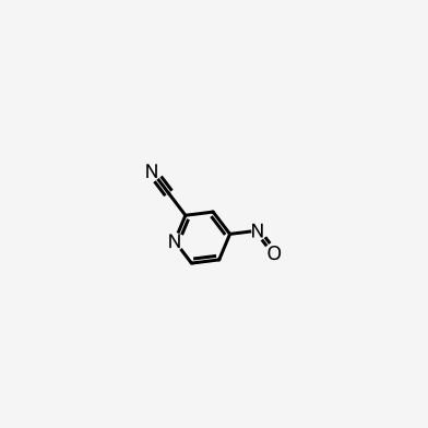 N#Cc1cc(N=O)ccn1